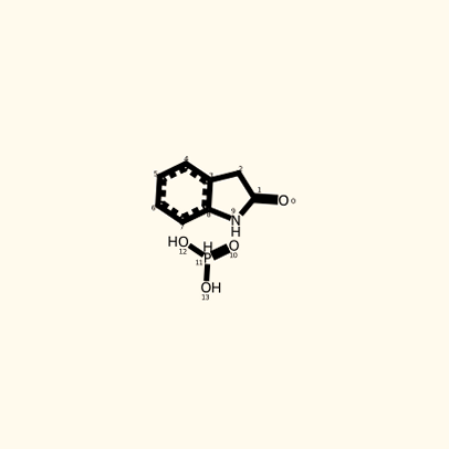 O=C1Cc2ccccc2N1.O=[PH](O)O